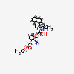 CCOC(=O)CCc1cccc(OC[C@@H](O)CNC(C)(C)Cc2ccc3ccccc3c2)c1C#N